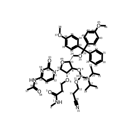 CNC(=O)CCO[C@H]1C(OP(OCCC#N)N(C(C)C)C(C)C)[C@@H](COC(c2ccccc2)(c2ccc(OC)cc2)c2ccc(OC)cc2)O[C@H]1n1ccc(NC(C)=O)nc1=O